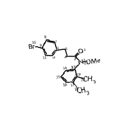 CON(C(=O)CCc1ccc(Br)cc1)c1cccc(C)c1C